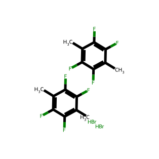 Br.Br.Cc1c(F)c(F)c(C)c(F)c1F.Cc1c(F)c(F)c(C)c(F)c1F